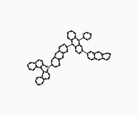 c1ccc(-c2c3ccccc3c(-c3ccc4cc5cc(-n6c7ccc8ccccc8c7c7c8ccccc8ccc76)ccc5cc4c3)c3ccc(-c4ccc5cc6ccccc6cc5c4)cc23)cc1